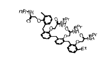 CCCNC(=O)COc1c(C)cccc1Cc1cccc(Cc2cccc(Cc3cccc(CC)c3OCC(=O)NCCC)c2OCC(=O)NCCC)c1OCC(=O)NCCC